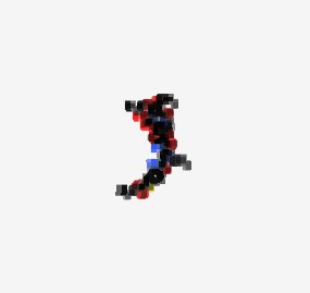 COC(=O)c1cc2cc(NC(=O)c3cc(NC(=O)CO[C@@H]4CCN5C(=O)c6cc(OC)c(OC)cc6N(C(=O)O)C(OC6CCCCO6)[C@@H]5C4)cn3C)ccc2s1